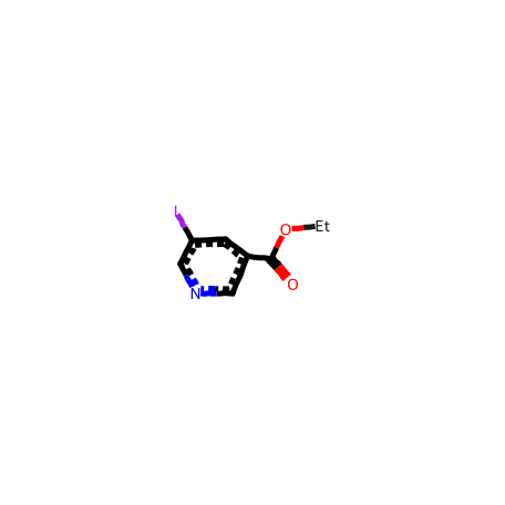 CCOC(=O)c1cncc(I)c1